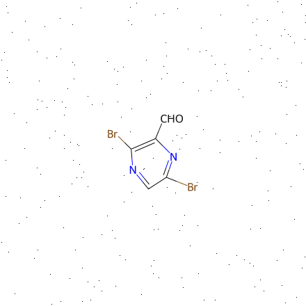 O=Cc1nc(Br)cnc1Br